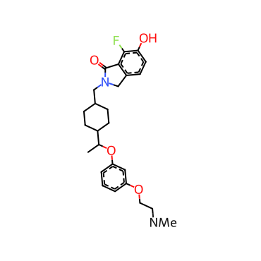 CNCCOc1cccc(OC(C)C2CCC(CN3Cc4ccc(O)c(F)c4C3=O)CC2)c1